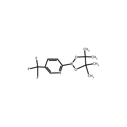 CC1(C)OB(c2ccc(C(F)(F)F)cn2)OC1(C)C